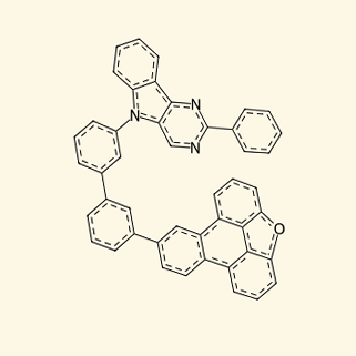 c1ccc(-c2ncc3c(n2)c2ccccc2n3-c2cccc(-c3cccc(-c4ccc5c(c4)c4cccc6oc7cccc5c7c64)c3)c2)cc1